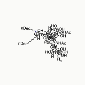 CCCCCCCCCCCCC/C=C/[C@@H](O)[C@H](CO[C@@H]1OC(CO)[C@@H](O[C@@H]2OC(CO)[C@H](O[C@@H]3OC(CO)[C@H](O)[C@H](O[C@@H]4OC(CO)[C@H](O)[C@H](O)C4O[C@H]4OC(C)[C@@H](O)C(O)[C@@H]4O)C3NC(C)=O)[C@H](O[C@]3(C(=O)O)CC(O)[C@@H](NC(C)=O)C([C@H](O)[C@H](O)CO)O3)C2O)[C@H](O)C1O)NC(=O)CCCCCCCCCCCCCCCCC